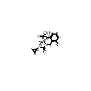 O=CO.O=c1n(Cc2c(Cl)cccc2Cl)nnn1C1CC1